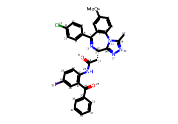 COc1ccc2c(c1)C(c1ccc(Cl)cc1)=N[C@@H](CC(=O)Nc1ccc(I)cc1C(=O)c1ccccc1)c1nnc(C)n1-2